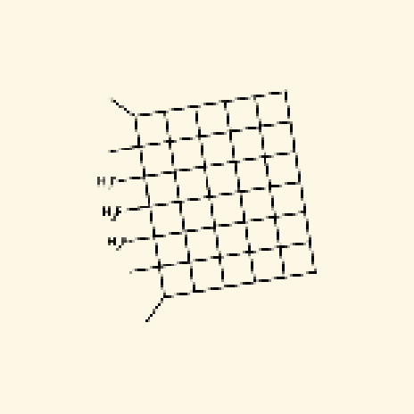 CC1C2C3C4C5CC6C7C8C9C%10CC%11C%12C%13C%14C(C)C%15(C)C%16(P)C%17(P)C%18(P)C1(C)C21C32C43C56C74C85C96C%11%10C%127C%138C%14%15C%169C%17%10C%181C21C34C52C76C89C%1012